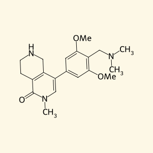 COc1cc(-c2cn(C)c(=O)c3c2CNCC3)cc(OC)c1CN(C)C